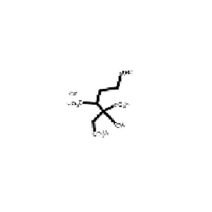 CCCCCCCCCCCCC(C(=O)O)C(O)(CC(=O)O)C(=O)O.[Ca]